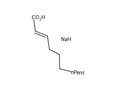 CCCCCCCCC=CC(=O)O.[NaH]